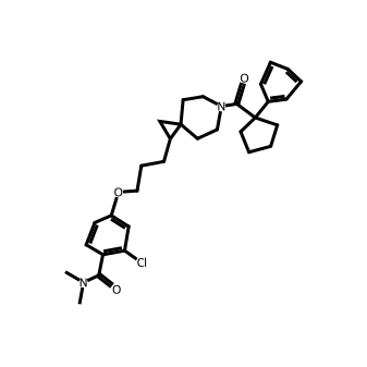 CN(C)C(=O)c1ccc(OCCCC2CC23CCN(C(=O)C2(c4ccccc4)CCCC2)CC3)cc1Cl